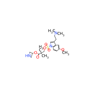 COc1ccc2c(c1)c(CCN(C)C)cn2S(=O)(=O)OCC(C)(C)C(=O)OC1CNC1